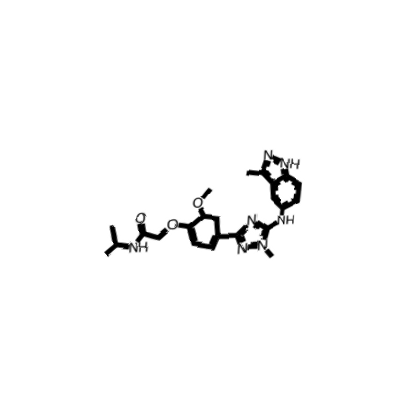 COC1CC(c2nc(Nc3ccc4[nH]nc(C)c4c3)n(C)n2)=CC=C1OCC(=O)NC(C)C